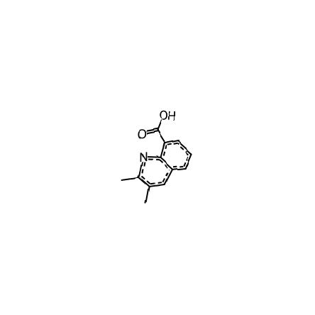 Cc1cc2cccc(C(=O)O)c2nc1C